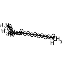 CC(=O)NCCOCCOCCOCCOCCOCCOCCOCCOCCC(=O)N1CCc2cc(Cn3nc(-c4ccc5oc(N)nc5c4)c4c(N)ncnc43)ccc2C1